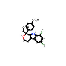 O=C(O)CC1(c2ccc(C(=O)O)cc2)OCCc2c1[nH]c1c(Cl)cc(Cl)cc21